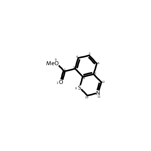 COC(=O)c1cccc2c1SCN=C2